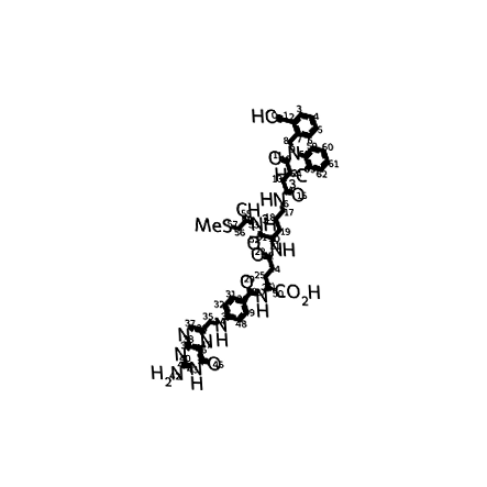 C#Cc1ccccc1CN(C(=O)CCC(=O)NCCCC(NC(=O)CC[C@H](NC(=O)c1ccc(NCc2cnc3nc(N)[nH]c(=O)c3n2)cc1)C(=O)O)C(=O)N[C@H](C)CSC)c1ccccc1C